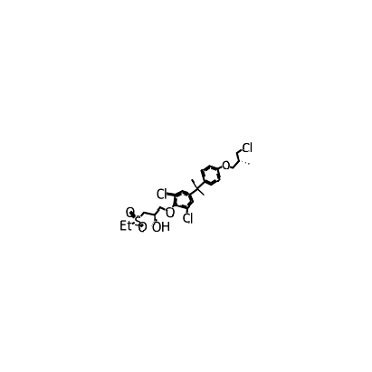 CCS(=O)(=O)C[C@H](O)COc1c(Cl)cc(C(C)(C)c2ccc(OC[C@@H](C)CCl)cc2)cc1Cl